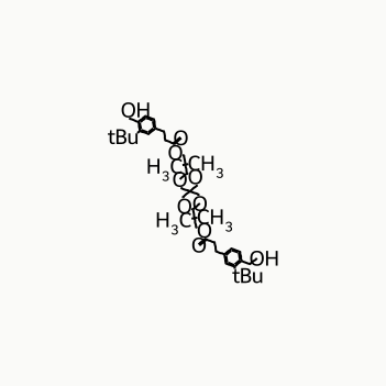 CC(C)(C)c1cc(CCC(=O)OCC(C)(C)C2OCC3(CO2)COC(C(C)(C)COC(=O)CCc2ccc(CO)c(C(C)(C)C)c2)OC3)ccc1CO